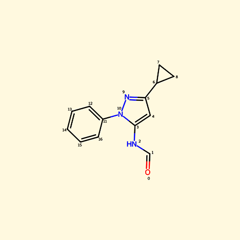 O=CNc1cc(C2CC2)nn1-c1ccccc1